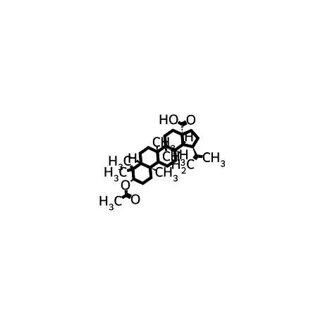 C=C(C)[C@@H]1CC[C@]2(C(=O)O)CC[C@]3(C)[C@H](CCC4[C@@]5(C)CC[C@H](OC(C)=O)C(C)(C)[C@@H]5CC[C@]43C)[C@@H]12